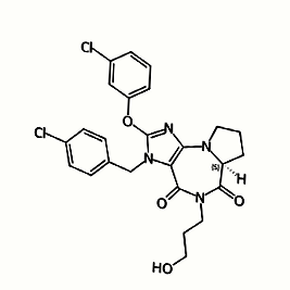 O=C1c2c(nc(Oc3cccc(Cl)c3)n2Cc2ccc(Cl)cc2)N2CCC[C@H]2C(=O)N1CCCO